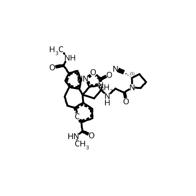 CNC(=O)c1ccc2c(c1)CCc1cc(C(=O)NC)ccc1C2(C[C@@H](C)NCC(=O)N1CCC[C@H]1C#N)c1nc(=O)o[nH]1